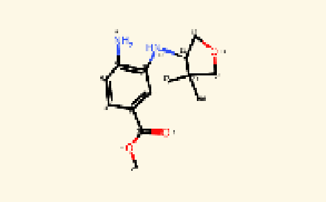 COC(=O)c1ccc(N)c(N[C@H]2COCC2(C)C)c1